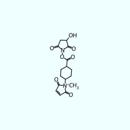 C[N+]1(C2CCC(C(=O)ON3C(=O)CC(O)C3=O)CC2)C(=O)C=CC1=O